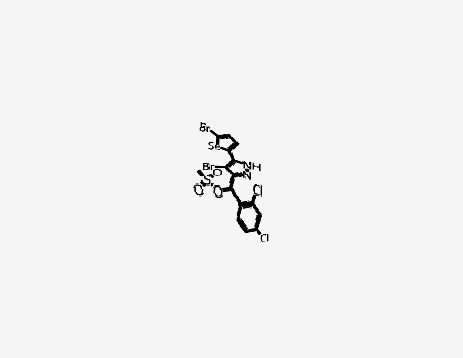 CS(=O)(=O)OC(c1ccc(Cl)cc1Cl)c1n[nH]c(-c2ccc(Br)[se]2)c1Br